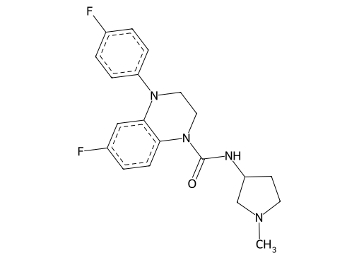 CN1CCC(NC(=O)N2CCN(c3ccc(F)cc3)c3cc(F)ccc32)C1